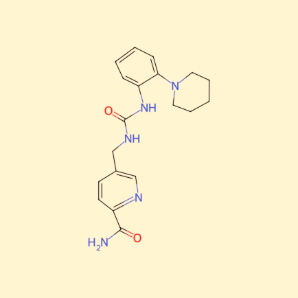 NC(=O)c1ccc(CNC(=O)Nc2ccccc2N2CCCCC2)cn1